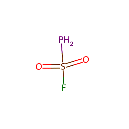 O=S(=O)(F)P